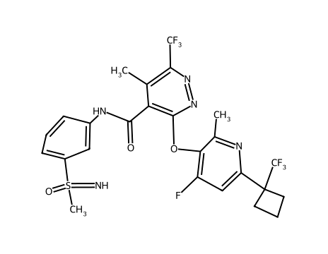 Cc1nc(C2(C(F)(F)F)CCC2)cc(F)c1Oc1nnc(C(F)(F)F)c(C)c1C(=O)Nc1cccc(S(C)(=N)=O)c1